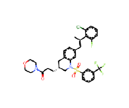 C/C(=C\c1ccc2c(c1)N(S(=O)(=O)c1cccc(C(F)(F)F)c1)C[C@H](CCC(=O)N1CCOCC1)C2)c1c(F)cccc1Cl